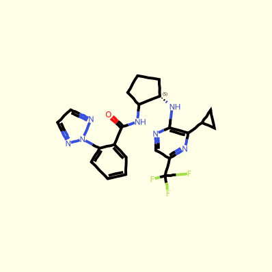 O=C(NC1CCC[C@@H]1Nc1ncc(C(F)(F)F)nc1C1CC1)c1ccccc1-n1nccn1